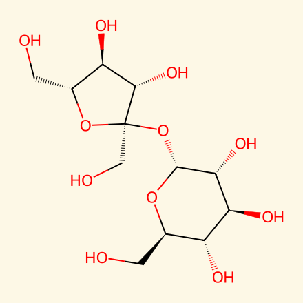 OC[C@H]1O[C@](CO)(O[C@H]2O[C@H](CO)[C@@H](O)[C@H](O)[C@H]2O)[C@@H](O)[C@@H]1O